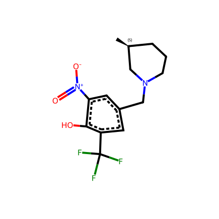 C[C@H]1CCCN(Cc2cc([N+](=O)[O-])c(O)c(C(F)(F)F)c2)C1